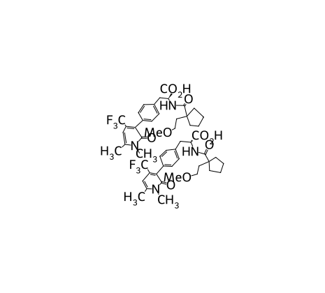 COCCC1(C(=O)N[C@@H](Cc2ccc(-c3c(C(F)(F)F)cc(C)n(C)c3=O)cc2)C(=O)O)CCCC1.COCCC1(C(=O)N[C@@H](Cc2ccc(-c3c(C(F)(F)F)cc(C)n(C)c3=O)cc2)C(=O)O)CCCC1